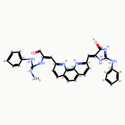 C/N=C(\N/C(C=O)=C\c1ccc2ccc3ccc(/C=C4\NC(Nc5ccccc5)=NC4=O)nc3c2n1)Nc1ccccc1